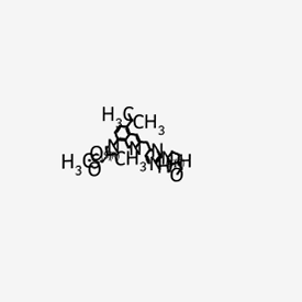 CC(C)c1ccc(N2C[C@H](CS(C)(=O)=O)[C@H]2C)c2cnc(Cc3ccnc(N4CC[C@H]5COC[C@H]54)n3)cc12